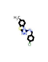 Cc1ccc2c(c1)sc1nnc(/N=C\c3ccc(Cl)cc3)n12